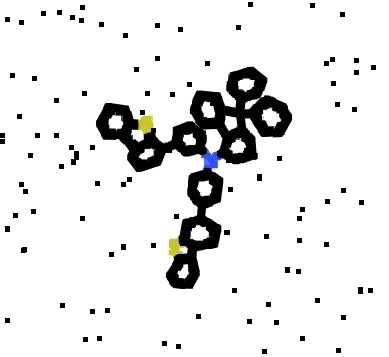 c1ccc(C2(c3ccccc3)c3ccccc3-c3c(N(c4ccc(-c5ccc6c(c5)sc5ccccc56)cc4)c4cccc(-c5cccc6c5sc5ccccc56)c4)cccc32)cc1